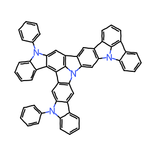 c1ccc(-n2c3ccccc3c3cc4c(cc32)c2c3c5ccccc5n(-c5ccccc5)c3cc3c5cc6c7cccc8c9ccccc9n(c6cc5n4c32)c87)cc1